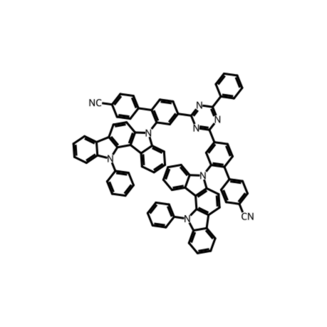 N#Cc1ccc(-c2ccc(-c3nc(-c4ccccc4)nc(-c4ccc(-c5ccc(C#N)cc5)c(-n5c6ccccc6c6c5ccc5c7ccccc7n(-c7ccccc7)c56)c4)n3)cc2-n2c3ccccc3c3c2ccc2c4ccccc4n(-c4ccccc4)c23)cc1